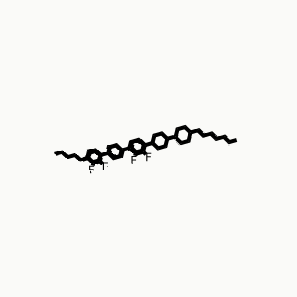 CCCCCCCC1CCC(C2CCC(c3ccc(-c4ccc(-c5ccc(CCCCC)c(F)c5F)cc4)c(F)c3F)CC2)CC1